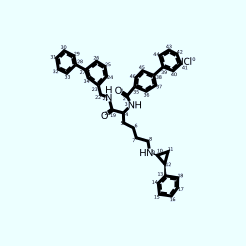 Cl.O=C(NC(CCCCN[C@@H]1C[C@H]1c1ccccc1)C(=O)NCc1cccc(-c2ccccc2)c1)c1ccc(-c2ccccc2)cc1